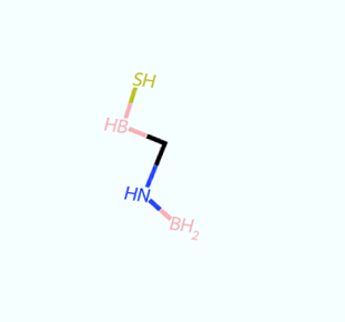 BNCBS